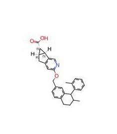 Cc1ccccc1C1c2cc(COc3cc4c(cn3)[C@H]3[C@@H](C4)[C@@H]3C(=O)O)ccc2CCC1C